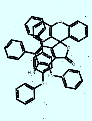 Nc1c(Nc2ccccc2)c2c(c(-c3ccccc3)c1-c1ccccc1)C1(OC2=O)c2ccccc2Oc2cccc(-c3ccc(Nc4ccccc4)cc3)c21